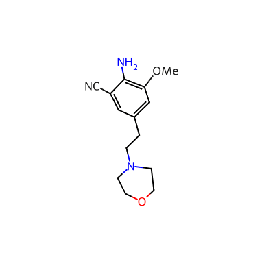 COc1cc(CCN2CCOCC2)cc(C#N)c1N